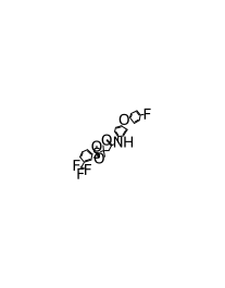 CC(C)(CC(=O)Nc1ccc(Oc2ccc(F)cc2)cc1)S(=O)(=O)c1cccc(C(F)(F)F)c1